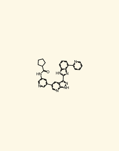 O=C(Nc1cncc(-c2cnc3[nH]nc(-c4nc5c(-c6ccccn6)cccc5[nH]4)c3c2)c1)C1CCCC1